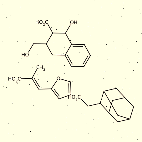 CC(=Cc1ccco1)C(=O)O.O=C(O)C1C(CO)Cc2ccccc2C1O.O=C(O)CC1C2CC3CC(C2)CC1C3